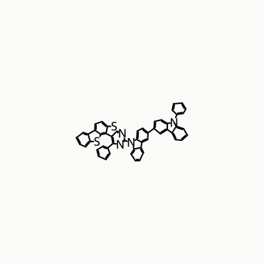 c1ccc(-c2nc(-n3c4ccccc4c4cc(-c5ccc6c(c5)c5ccccc5n6-c5ccccc5)ccc43)nc3sc4ccc5c6ccccc6sc5c4c23)cc1